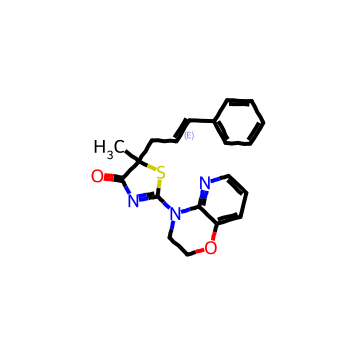 CC1(C/C=C/c2ccccc2)SC(N2CCOc3cccnc32)=NC1=O